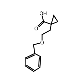 O=C(O)C1(CCOCc2ccccc2)CC1